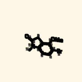 COc1c(Br)ccc2c1CC(=O)N2C